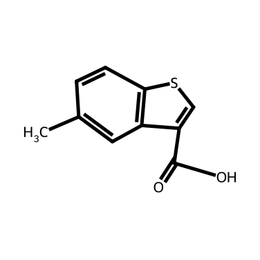 Cc1ccc2scc(C(=O)O)c2c1